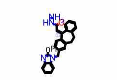 CCCc1nc2ccccc2n1Cc1ccc2c(c1)CCc1ccccc1/C2=C\C(=O)NN